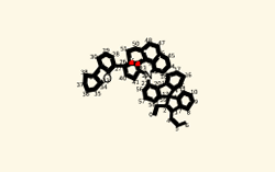 C=CC1=C(/C=C\C)c2ccccc2C12c1ccccc1-c1c(N(c3ccc(-c4cccc5c4oc4ccccc45)cc3)c3cccc4ccc5ccccc5c34)cccc12